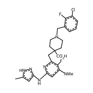 CNc1cc(Nc2cc(C)[nH]n2)nc(CC2(C(=O)O)CCN(Cc3cccc(Cl)c3F)CC2)c1F